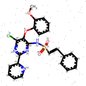 COc1ccccc1Oc1c(Cl)nc(-c2ccccn2)nc1NS(=O)(=O)/C=C/c1ccccc1